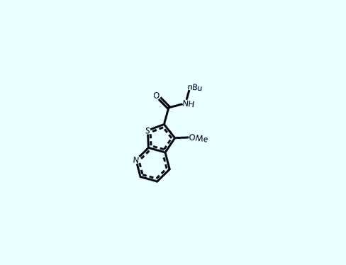 CCCCNC(=O)c1sc2ncccc2c1OC